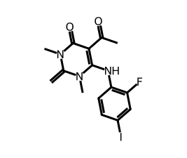 C=C1N(C)C(=O)C(C(C)=O)=C(Nc2ccc(I)cc2F)N1C